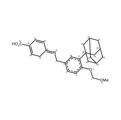 COCOc1ccc(CN=C2C=CC(C(=O)O)=CC2)cc1C12CC3CC(CC(C3)C1)C2